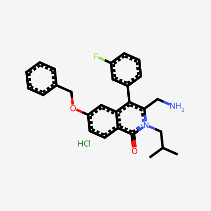 CC(C)Cn1c(CN)c(-c2cccc(F)c2)c2cc(OCc3ccccc3)ccc2c1=O.Cl